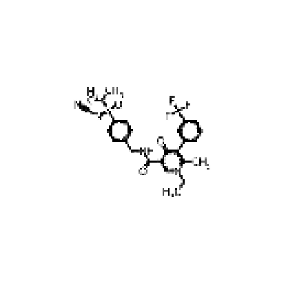 CCn1cc(C(=O)NCc2ccc(S(=O)(=NC#N)C(C)C)cc2)c(=O)c(-c2cccc(C(F)(F)F)c2)c1C